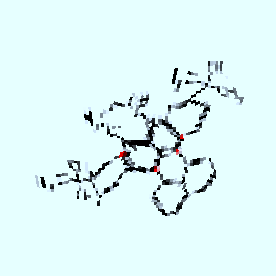 CC(C)(C)c1ccc2c(-c3cccc4cccc(-c5c6ccccc6[n+]([O-])c6cc(C(C)(C)C)ccc56)c34)c3ccccc3[n+]([O-])c2c1.CCO